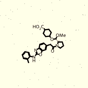 COC(OC1CCC(C(=O)O)CC1)[C@@H]1CCCN1C(=O)Cc1ccc2nc(Nc3ccccc3C)oc2c1